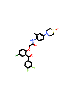 Cc1cc(N2CC[S+]([O-])CC2)ccc1NC(=O)COc1ccc(Cl)cc1C(=O)c1ccc(F)c(F)c1